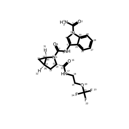 NC(=O)n1cc(NC(=O)N2[C@@H]3C[C@@H]3C[C@H]2C(=O)NCCOC(F)(F)F)c2ccccc21